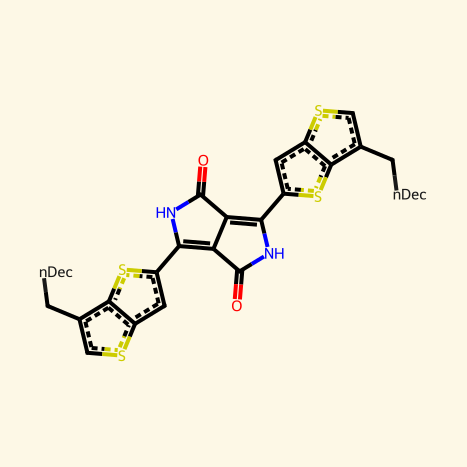 CCCCCCCCCCCc1csc2cc(C3=C4C(=O)NC(c5cc6scc(CCCCCCCCCCC)c6s5)=C4C(=O)N3)sc12